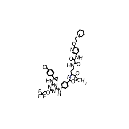 COC(=O)/C(CCNC(=O)C(=O)Nc1ccc(OCCN2CCCCC2)nc1)=N\C(=O)c1ccc(Nc2nc(NC3(c4ccc(Cl)cc4)CC3)nc(OCC(F)(F)F)n2)cc1